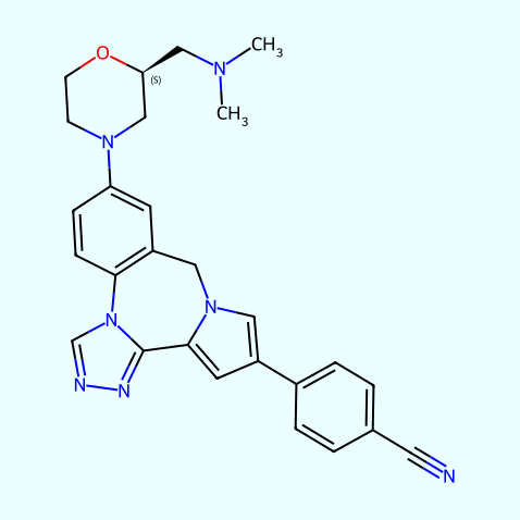 CN(C)C[C@H]1CN(c2ccc3c(c2)Cn2cc(-c4ccc(C#N)cc4)cc2-c2nncn2-3)CCO1